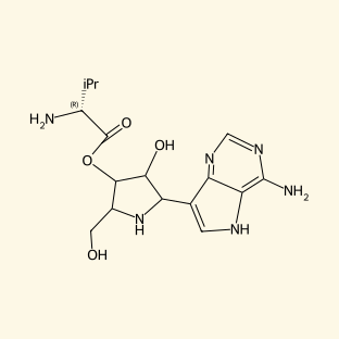 CC(C)[C@@H](N)C(=O)OC1C(CO)NC(c2c[nH]c3c(N)ncnc23)C1O